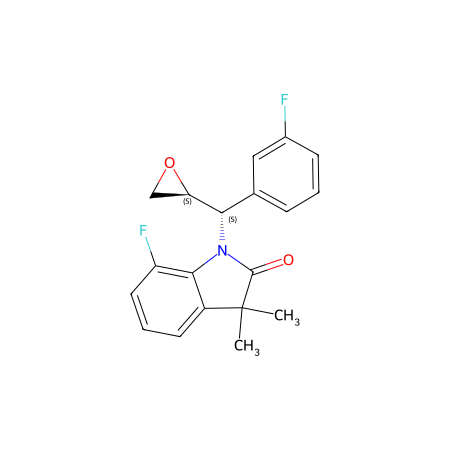 CC1(C)C(=O)N([C@@H](c2cccc(F)c2)[C@H]2CO2)c2c(F)cccc21